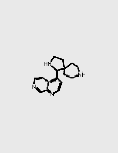 c1cc2c(C3NCCC34CCNCC4)ccnc2cn1